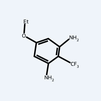 CCOc1cc(N)c(C(F)(F)F)c(N)c1